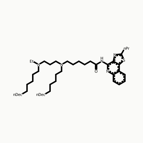 CCCCCCCCCCCCCCCN(CC)CCCN(CCCCCCCCCCCCCCC)CCCCCC(=O)Nc1nc2ccccc2c2sc(CCC)nc12